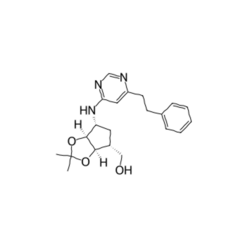 CC1(C)O[C@@H]2[C@@H](CO)C[C@@H](Nc3cc(CCc4ccccc4)ncn3)[C@@H]2O1